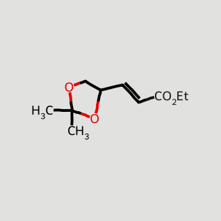 CCOC(=O)C=CC1COC(C)(C)O1